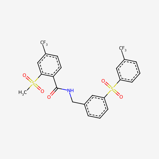 CS(=O)(=O)c1cc(C(F)(F)F)ccc1C(=O)NCc1cccc(S(=O)(=O)c2cccc(C(F)(F)F)c2)c1